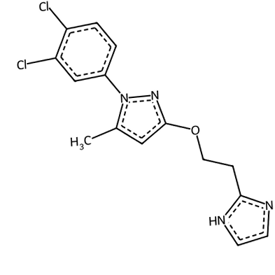 Cc1cc(OCCc2ncc[nH]2)nn1-c1ccc(Cl)c(Cl)c1